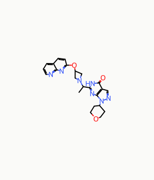 CC(c1nc2c(cnn2C2CCOCC2)c(=O)[nH]1)N1CC(Oc2ccc3cccnc3n2)C1